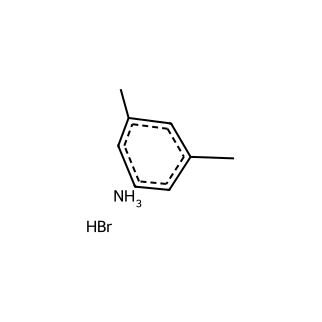 Br.Cc1cccc(C)c1.N